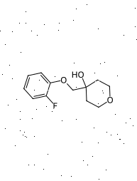 OC1(COc2ccccc2F)CCOCC1